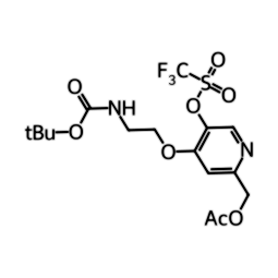 CC(=O)OCc1cc(OCCNC(=O)OC(C)(C)C)c(OS(=O)(=O)C(F)(F)F)cn1